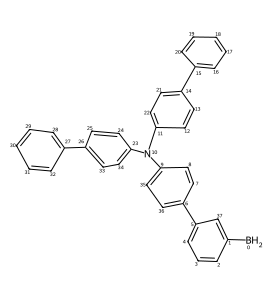 Bc1cccc(-c2ccc(N(c3ccc(-c4ccccc4)cc3)c3ccc(-c4ccccc4)cc3)cc2)c1